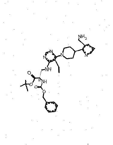 CCc1c(NC[C@H](NC(=O)OCc2ccccc2)C(=O)OC(C)(C)C)ncnc1N1CCC(c2ncccc2CN)CC1